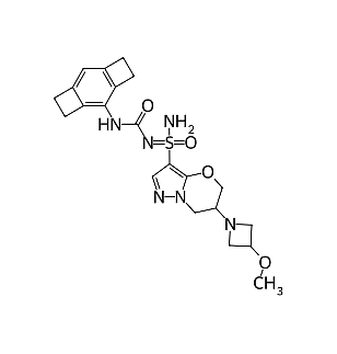 COC1CN(C2COc3c(S(N)(=O)=NC(=O)Nc4c5c(cc6c4CC6)CC5)cnn3C2)C1